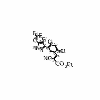 CCOC(=O)/C(C#N)=C/c1cc(-c2nn(C)c(OC(F)F)c2Cl)c(Cl)cc1Cl